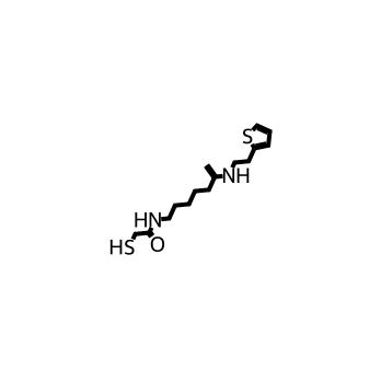 C=C(CCCCCNC(=O)CS)NCCc1cccs1